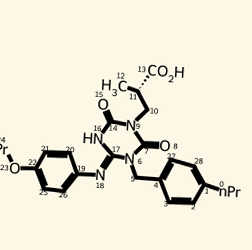 CCCc1ccc(Cn2c(=O)n(C[C@H](C)C(=O)O)c(=O)[nH]/c2=N\c2ccc(OC(C)C)cc2)cc1